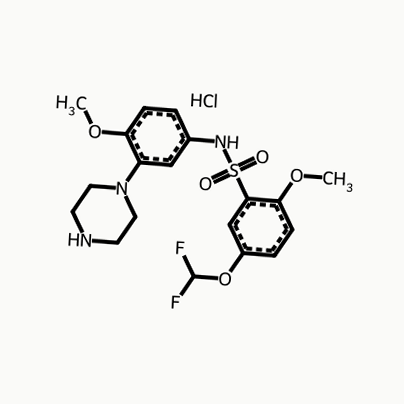 COc1ccc(NS(=O)(=O)c2cc(OC(F)F)ccc2OC)cc1N1CCNCC1.Cl